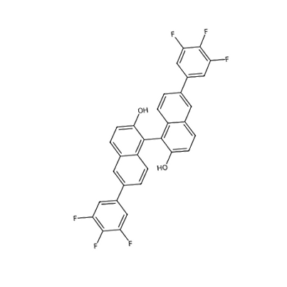 Oc1ccc2cc(-c3cc(F)c(F)c(F)c3)ccc2c1-c1c(O)ccc2cc(-c3cc(F)c(F)c(F)c3)ccc12